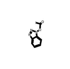 O=C(I)On1nnc2ccccc21